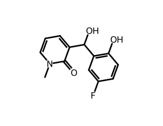 Cn1cccc(C(O)c2cc(F)ccc2O)c1=O